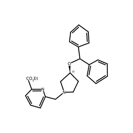 CCOC(=O)c1cccc(CN2CC[C@H](OC(c3ccccc3)c3ccccc3)C2)n1